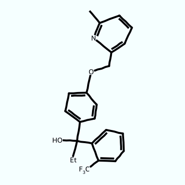 CCC(O)(c1ccc(OCc2cccc(C)n2)cc1)c1ccccc1C(F)(F)F